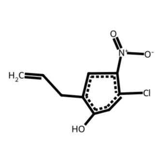 C=CCc1cc([N+](=O)[O-])c(Cl)cc1O